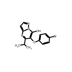 CC(C)c1nc2ccnn2c(O)c1Oc1ccc(Br)cc1